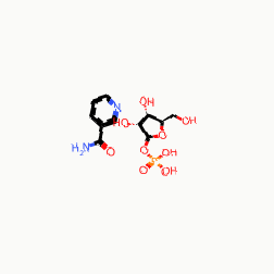 NC(=O)c1cccnc1.O=P(O)(O)OC1O[C@H](CO)[C@@H](O)[C@H]1O